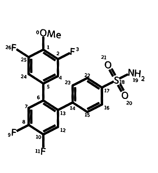 COc1c(F)cc(-c2cc(F)c(F)cc2-c2ccc(S(N)(=O)=O)cc2)cc1F